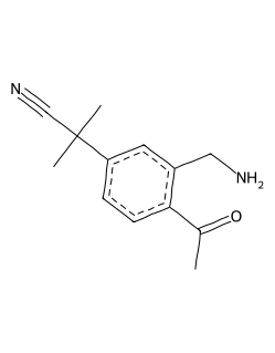 CC(=O)c1ccc(C(C)(C)C#N)cc1CN